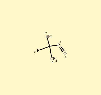 CCCC(F)(P=O)C(F)(F)F